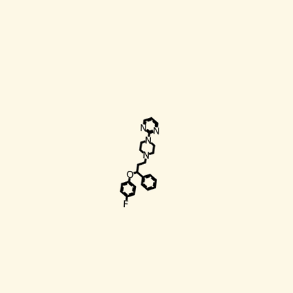 Fc1ccc(OC(CCN2CCN(c3ncccn3)CC2)c2ccccc2)cc1